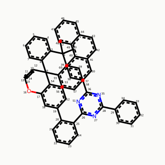 CC1(C)c2ccccc2C2(c3ccccc3Oc3cc(-c4ccccc4-c4nc(-c5ccccc5)nc(-c5ccc6c(ccc7ccccc76)c5)n4)ccc32)c2ccccc21